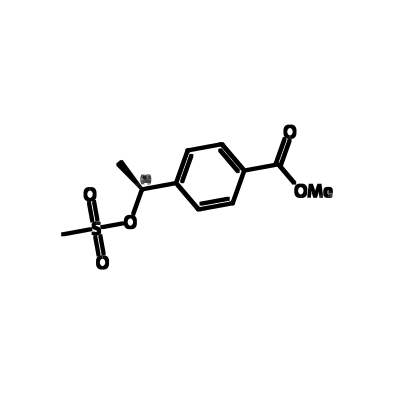 COC(=O)c1ccc([C@H](C)OS(C)(=O)=O)cc1